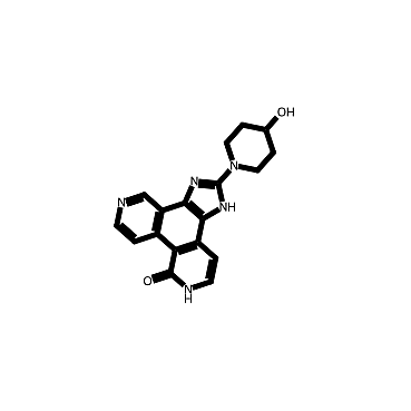 O=c1[nH]ccc2c3[nH]c(N4CCC(O)CC4)nc3c3cnccc3c12